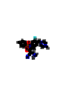 Cc1ccc(S(=O)(=O)n2c(C(=O)C(C#N)=CN(C)C)cc3cc(CN4CCN(C)CC4)c(F)cc32)cc1